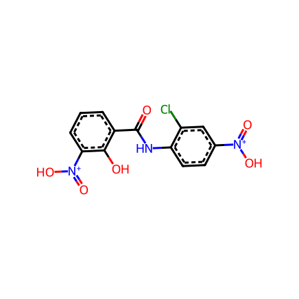 O=C(Nc1ccc([N+](=O)O)cc1Cl)c1cccc([N+](=O)O)c1O